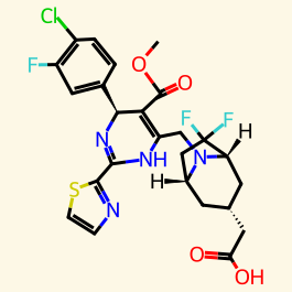 COC(=O)C1=C(CN2[C@@H]3C[C@@H](CC(=O)O)C[C@H]2C(F)(F)C3)NC(c2nccs2)=N[C@H]1c1ccc(Cl)c(F)c1